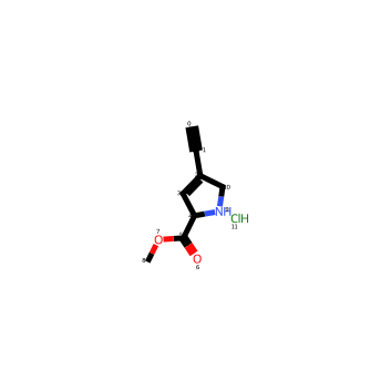 C#CC1=CC(C(=O)OC)NC1.Cl